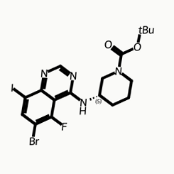 CC(C)(C)OC(=O)N1CCC[C@H](Nc2ncnc3c(I)cc(Br)c(F)c23)C1